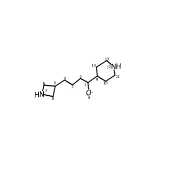 [O]C(CCCC1CNC1)C1CCNCC1